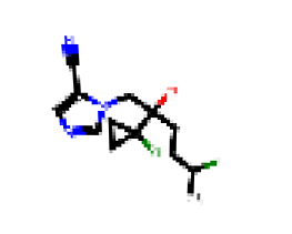 CC(F)CCC(O)(Cn1cncc1C#N)C1(Cl)CC1